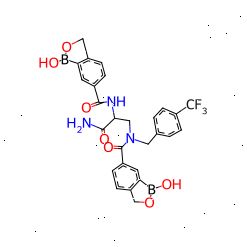 NC(=O)C(CN(Cc1ccc(C(F)(F)F)cc1)C(=O)c1ccc2c(c1)B(O)OC2)NC(=O)c1ccc2c(c1)B(O)OC2